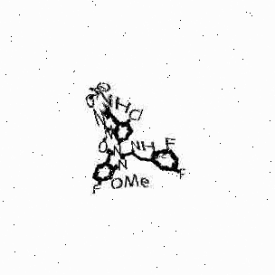 COc1c(F)ccc2c(=O)n(-c3ccc(Cl)c4c(NS(C)(=O)=O)nn(C)c34)c(C(N)Cc3cc(F)cc(F)c3)nc12